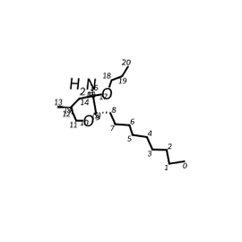 CCCCCCCCC[C@@H]1OC[C@@H](C)C[C@@]1(N)OCCC